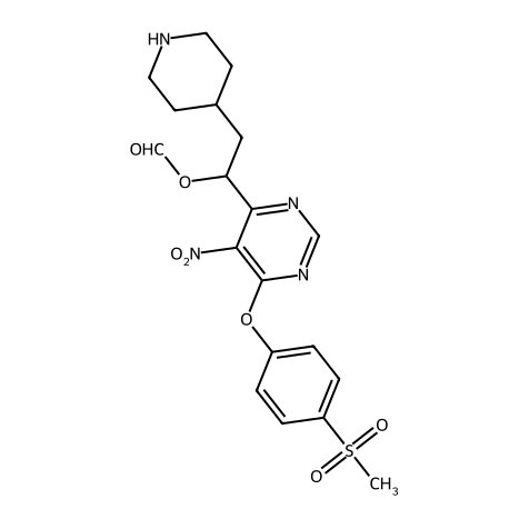 CS(=O)(=O)c1ccc(Oc2ncnc(C(CC3CCNCC3)OC=O)c2[N+](=O)[O-])cc1